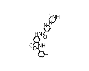 Cc1cccc(C(=O)Nc2cc(NC(=O)c3ccc(N4C[C@@H](C)N[C@@H](C)C4)nc3)ccc2Cl)c1